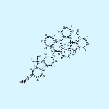 CCc1nc2cccc3c2n1-c1c(cccc1-c1c2ccccc2c(-c2ccc4c(c2)C(C)(C)c2cc(C#N)ccc2-4)c2ccccc12)O3